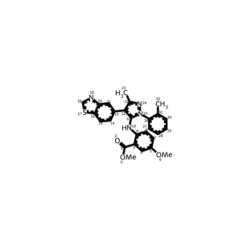 COC(=O)c1cc(OC)ccc1Nc1c(-c2ccc3scnc3c2)c(C)nn1-c1ccccc1C